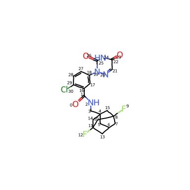 O=C(NCC12CC3CC(F)(CC(F)(C3)C1)C2)c1cc(-n2ncc(=O)[nH]c2=O)ccc1Cl